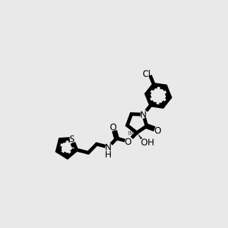 O=C(NCCc1cccs1)O[C@@]1(O)CCN(c2cccc(Cl)c2)C1=O